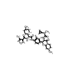 CCc1nonc1C(=O)N[C@H](C(=O)Nc1ccc([C@H](C)[C@@H](NC(=O)N(C)C2CC2)C(=O)N2CCN(C)CC2)cc1F)[C@H]1CC[C@H](C)CC1